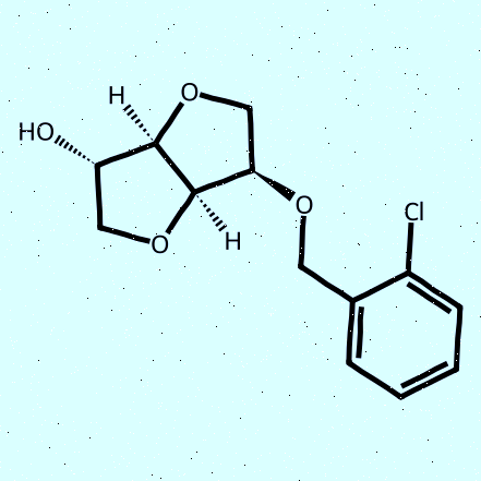 O[C@H]1CO[C@H]2[C@@H]1OC[C@H]2OCc1ccccc1Cl